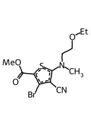 CCOCCN(C)c1sc(C(=O)OC)c(Br)c1C#N